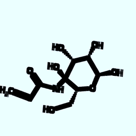 C=CC(=O)N[C@]1(O)[C@H](O)[C@H](O)[C@@H](O)O[C@@H]1CO